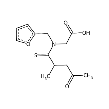 CC(=O)CC(C)C(=S)N(CC(=O)O)Cc1ccco1